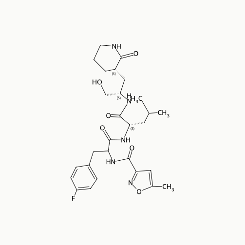 Cc1cc(C(=O)NC(Cc2ccc(F)cc2)C(=O)N[C@@H](CC(C)C)C(=O)N[C@H](CO)C[C@@H]2CCCNC2=O)no1